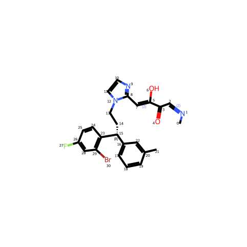 C/N=C\C(=O)/C(O)=C/c1nccn1CC[C@H](c1cccc(C)c1)c1ccc(F)cc1Br